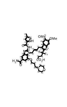 COc1cc2sc(C(F)(F)CCC(=O)O)c(C/C=C/Cn3c(NC(=O)c4cc(C)n[nH]4)nc4cc(C(N)=O)cc(OCCCN5CCOCC5)c43)c2cc1OC